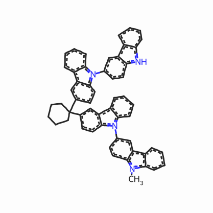 Cn1c2ccccc2c2cc(-n3c4ccccc4c4cc(C5(c6ccc7c(c6)c6ccccc6n7-c6ccc7[nH]c8ccccc8c7c6)CCCCC5)ccc43)ccc21